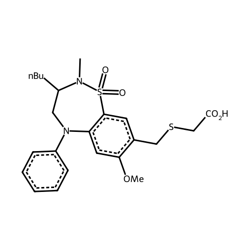 CCCCC1CN(c2ccccc2)c2cc(OC)c(CSCC(=O)O)cc2S(=O)(=O)N1C